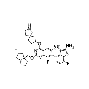 N#Cc1c(N)sc2c(F)ccc(-c3c(C(F)(F)F)cc4c(OC5CCC6(CCNC6)C5)nc(OC[C@@]56CCCN5C[C@H](F)C6)nc4c3F)c12